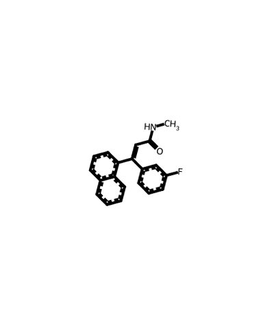 CNC(=O)C=C(c1cccc(F)c1)c1cccc2ccccc12